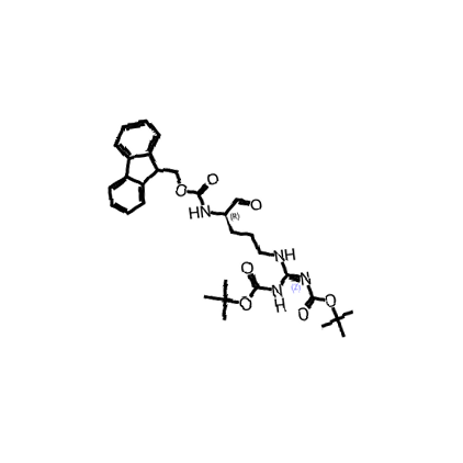 CC(C)(C)OC(=O)/N=C(/NCCC[C@H](C=O)NC(=O)OCC1c2ccccc2-c2ccccc21)NC(=O)OC(C)(C)C